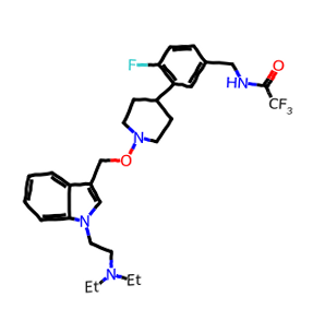 CCN(CC)CCn1cc(CON2CCC(c3cc(CNC(=O)C(F)(F)F)ccc3F)CC2)c2ccccc21